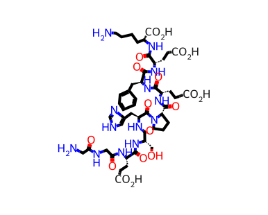 NCCCC[C@H](NC(=O)[C@H](CCC(=O)O)NC(=O)[C@H](Cc1ccccc1)NC(=O)[C@H](CCC(=O)O)NC(=O)[C@@H]1CCCN1C(=O)[C@H](Cc1c[nH]cn1)NC(=O)[C@H](CO)NC(=O)[C@H](CCC(=O)O)NC(=O)CNC(=O)CN)C(=O)O